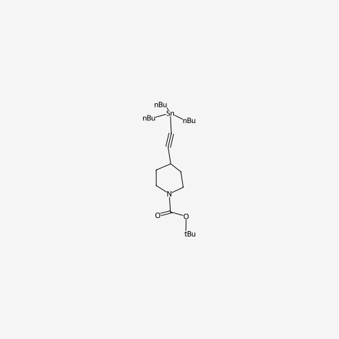 CCC[CH2][Sn]([C]#CC1CCN(C(=O)OC(C)(C)C)CC1)([CH2]CCC)[CH2]CCC